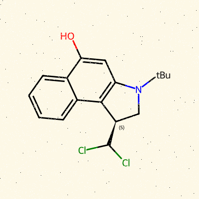 CC(C)(C)N1C[C@@H](C(Cl)Cl)c2c1cc(O)c1ccccc21